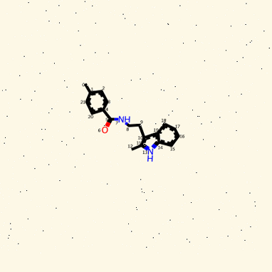 Cc1ccc(C(=O)NCCc2c(C)[nH]c3ccccc23)cc1